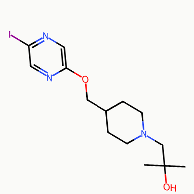 CC(C)(O)CN1CCC(COc2cnc(I)cn2)CC1